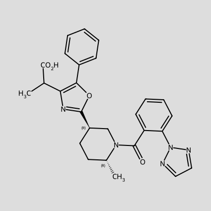 CC(C(=O)O)c1nc([C@@H]2CC[C@@H](C)N(C(=O)c3ccccc3-n3nccn3)C2)oc1-c1ccccc1